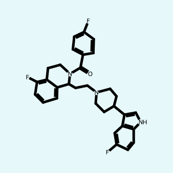 O=C(c1ccc(F)cc1)N1CCc2c(F)cccc2C1CCN1CCC(c2c[nH]c3ccc(F)cc23)CC1